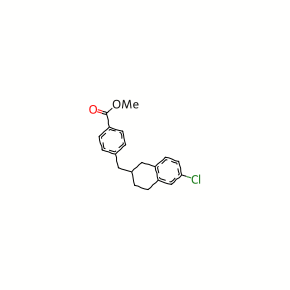 COC(=O)c1ccc(CC2CCc3cc(Cl)ccc3C2)cc1